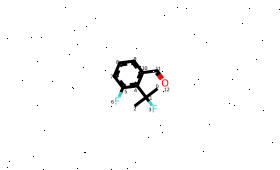 CC(C)(F)c1c(F)cccc1C=O